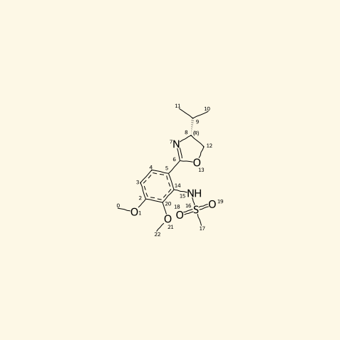 COc1ccc(C2=N[C@H](C(C)C)CO2)c(NS(C)(=O)=O)c1OC